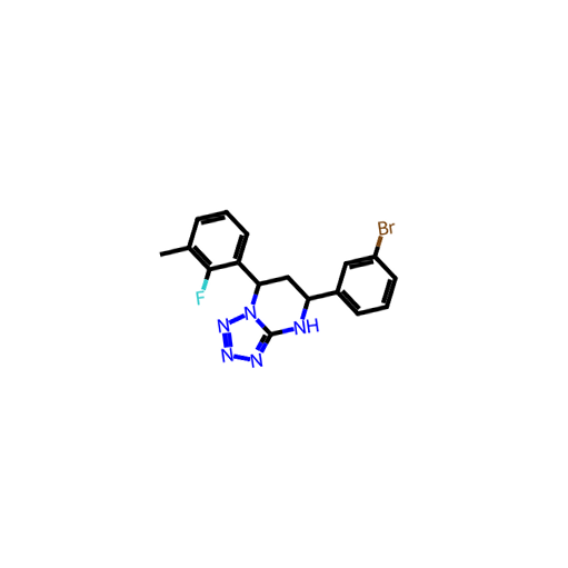 Cc1cccc(C2CC(c3cccc(Br)c3)Nc3nnnn32)c1F